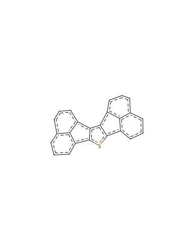 c1cc2cccc3c2c(c1)c1sc2c4cccc5cccc(c54)c2c31